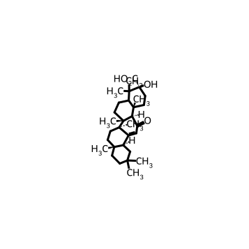 CC1(C)CC[C@]2(C)CC[C@]3(C)C(=CC(=O)[C@@H]4[C@@]5(C)CC[C@@](O)(C(=O)O)C(C)(C)C5CC[C@]43C)[C@H]2C1